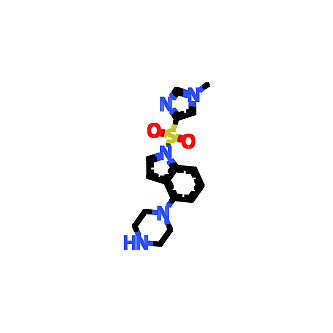 Cn1cnc(S(=O)(=O)n2ccc3c(N4CCNCC4)cccc32)c1